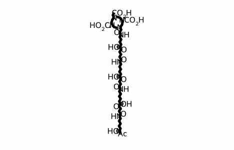 CC(=O)N(O)CCCCCNC(=O)CCC(=O)N(O)CCCCCNC(=O)CCC(=O)N(O)CCCCCNC(=O)CCCC(=O)N(O)CCCCNC(=O)CN1CCN(CC(=O)O)CCN(CC(=O)O)CCN(CC(=O)O)CC1